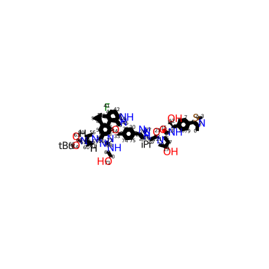 Cc1ncsc1-c1ccc([C@H](CO)NC(=O)[C@@H]2C[C@@H](O)CN2C(=O)[C@H](C(C)C)n2cc(-c3ccc(COc4c(-c5c(C)c(F)cc6[nH]ncc56)c(C5CC5)cc5c(N6C[C@@H]7C[C@H]6CN7C(=O)OC(C)(C)C)nc(NCCO)nc45)cc3)nn2)cc1